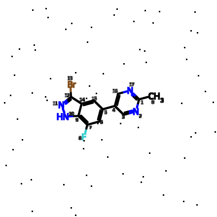 Cc1ncc(-c2cc(F)c3[nH]nc(Br)c3c2)cn1